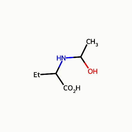 CCC(NC(C)O)C(=O)O